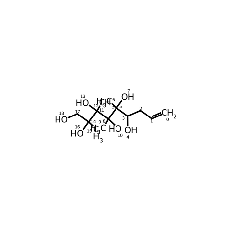 C=CCC(O)C(C)(O)C(C)(O)C(C)(O)C(C)(O)CO